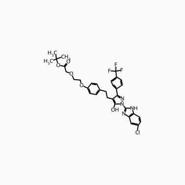 CC(C)(C)OC(=O)COCCOc1ccc(CCc2c(-c3ccc(C(F)(F)F)cc3)nn(-c3nc4cc(Cl)ccc4[nH]3)c2O)cc1